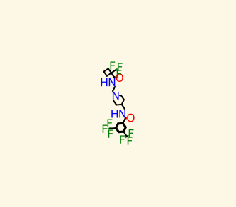 O=C(NCC1CCN(CCNC(=O)C2(C(F)(F)F)CCC2)CC1)c1cc(C(F)(F)F)cc(C(F)(F)F)c1